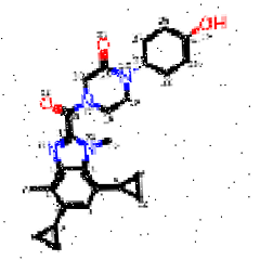 Cc1c(C2CC2)cc(C2CC2)c2c1nc(C(=O)N1CCN([C@H]3CC[C@H](O)CC3)C(=O)C1)n2C